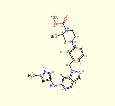 Cn1cc(Nc2ncc3cnn(Cc4c(F)ccc(N5CCN(C(=O)OC(C)(C)C)C(C(C)(C)C)C5)c4F)c3n2)cn1